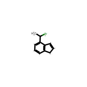 CC(Br)c1cccc2c1C=CC2